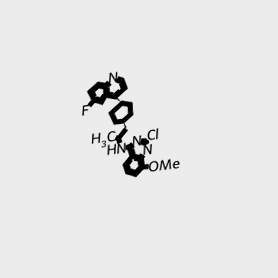 COc1cccc2c(NC(C)C[C@H]3CC[C@@H](c4ccnc5ccc(F)cc54)CC3)nc(Cl)nc12